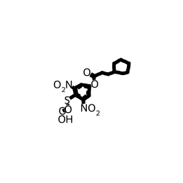 O=C(CCC1CCCCC1)Oc1cc([N+](=O)[O-])c(SOOO)c([N+](=O)[O-])c1